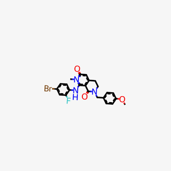 COc1ccc(CN2CCc3cc(=O)n(C)c(Nc4ccc(Br)cc4F)c3C2=O)cc1